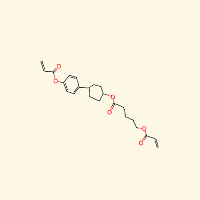 C=CC(=O)OCCCCC(=O)OC1CCC(c2ccc(OC(=O)C=C)cc2)CC1